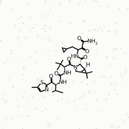 Cc1cnc(C(=O)[C@@H](NC(=O)N[C@H](C(=O)N2CC3[C@@H]([C@H]2C(=O)NC(CC2CC2)C(=O)C(N)=O)C3(C)C)C(C)(C)C)C(C)C)s1